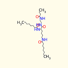 CCCCCCCC(=O)NCCCCC(NC(=O)CCCCCCC)C(=O)NCCNC(=O)CCC